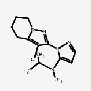 CC(C)N(C)c1ccnn1-c1nn2c(c1Cl)CCCC2